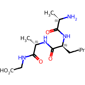 CC(C)C[C@H](NC(=O)[C@H](C)N)C(=O)N[C@@H](C)C(=O)NCC(=O)O